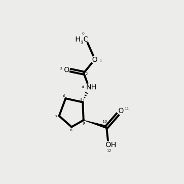 COC(=O)N[C@H]1CCC[C@@H]1C(=O)O